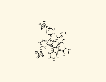 Nc1ccc2c(c1)n1c(N3CCOCC3)[n+]3ccccc3c1c1c3ccccn3c(N3CCCC3)[n+]21.[O-][Cl+3]([O-])([O-])[O-].[O-][Cl+3]([O-])([O-])[O-]